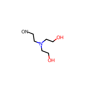 O=NCCN(CCO)CCO